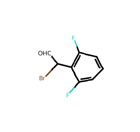 O=CC(Br)c1c(F)cccc1F